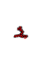 c1ccc(-c2ccc(-c3ccc(N(c4ccc(-c5cccc(-c6ccc(-n7c8ccccc8c8ccccc87)cc6)c5)cc4)c4cccc(-c5ccc6c(c5)oc5ccccc56)c4)cc3)cc2)cc1